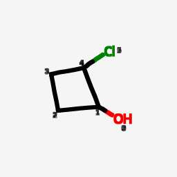 OC1CCC1Cl